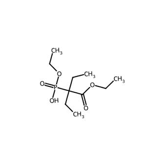 CCOC(=O)C(CC)(CC)P(=O)(O)OCC